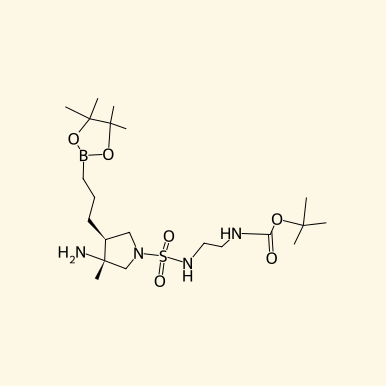 CC(C)(C)OC(=O)NCCNS(=O)(=O)N1C[C@H](CCCB2OC(C)(C)C(C)(C)O2)[C@@](C)(N)C1